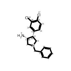 N[C@H]1CN(Cc2ccccc2)C[C@H]1c1ccc(Cl)c(Cl)c1